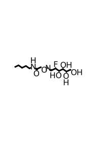 CCCCCNC(=O)CO/N=C/[C@H](F)[C@@H](O)[C@H](O)[C@H](O)CO